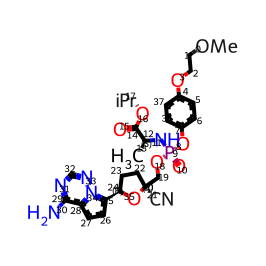 COCCOc1ccc(OP(=O)(N[C@@H](C)C(=O)OC(C)C)OC[C@]2(C#N)CC[C@H](c3ccc4c(N)ncnn34)O2)cc1